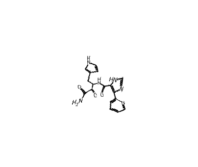 NC(=O)C(=O)C(Cc1cc[nH]c1)NC(=O)c1[nH]cnc1-c1ccccn1